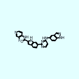 O=C(Nc1ccncc1F)c1cc2ccc(-c3nccc(Nc4ccc5[nH]ncc5c4)n3)cc2[nH]1